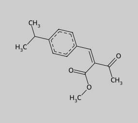 COC(=O)C(=Cc1ccc(C(C)C)cc1)C(C)=O